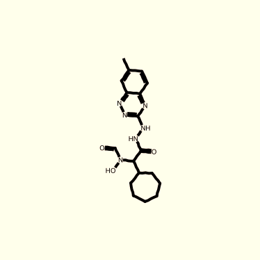 Cc1ccc2nc(NNC(=O)C(C3CCCCCC3)N(O)C=O)nnc2c1